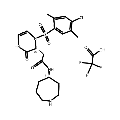 Cc1cc(S(=O)(=O)N2C=CNC(=O)[C@H]2CC(=O)N[C@@H]2CCCNCC2)c(C)cc1Cl.O=C(O)C(F)(F)F